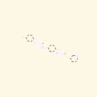 O=C(Cc1cccnc1)NCc1ccc(NC(=O)NCc2ccc(Cl)cc2)cc1